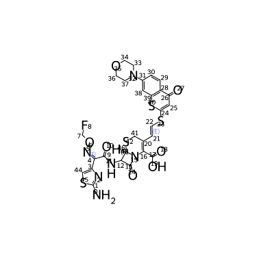 Nc1nc(/C(=N/OCF)C(=O)NC2C(=O)N3C(C(=O)O)=C(/C=C/Sc4cc(=O)c5ccc(N6CCOCC6)cc5s4)CS[C@H]23)cs1